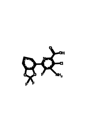 Nc1c(F)c(-c2cccc3c2OC(F)(F)O3)nc(C(=O)O)c1Cl